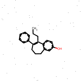 CCCC1=C(c2ccccc2)CCCc2cc(O)ccc21